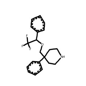 FC(F)(F)C(OCC1(c2ccccc2)CCNCC1)c1ccccc1